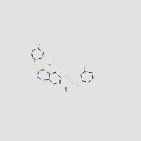 Cc1ccc(Cc2cnc3c(O)c4c(c(N(C)S(C)(=O)=O)c3c2)CN(Cc2ccc(F)c(Cl)c2)C4=O)cc1